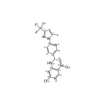 Cc1cc(C(F)(F)F)nn1-c1ccc(CNc2nc(Cl)ncc2[N+](=O)[O-])cn1